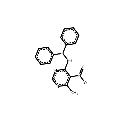 Cc1ncnc(NN(c2ccccc2)c2ccccc2)c1[N+](=O)[O-]